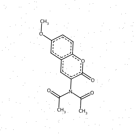 COc1ccc2oc(=O)c(N(C(C)=O)C(C)=O)cc2c1